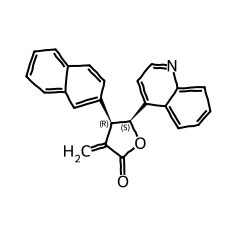 C=C1C(=O)O[C@H](c2ccnc3ccccc23)[C@@H]1c1ccc2ccccc2c1